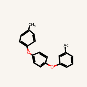 CC(=O)c1cccc(Oc2ccc(Oc3ccc(C)cc3)cc2)c1